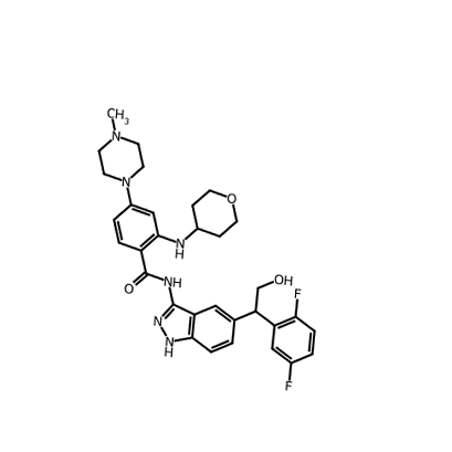 CN1CCN(c2ccc(C(=O)Nc3n[nH]c4ccc(C(CO)c5cc(F)ccc5F)cc34)c(NC3CCOCC3)c2)CC1